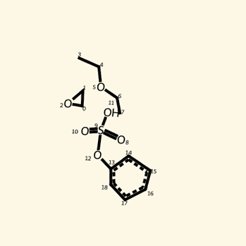 C1CO1.CCOCC.O=S(=O)(O)Oc1ccccc1